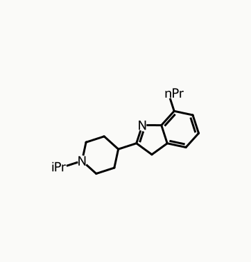 CCCc1cccc2c1N=C(C1CCN(C(C)C)CC1)C2